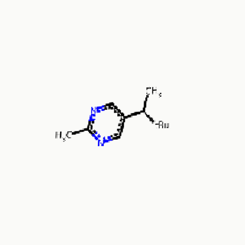 Cc1ncc([C@@H](C)C(C)(C)C)cn1